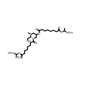 CCCCCCCCC(C)OC(=O)CCCCCCC(=O)OC(COC(=O)CCCCCCC(=O)OC(CCCCCCCC)CCCCCCCC)CN(C)CCO